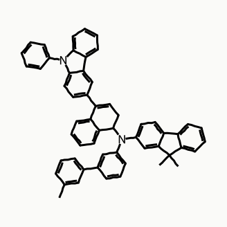 Cc1cccc(-c2cccc(N(c3ccc4c(c3)C(C)(C)c3ccccc3-4)C3CC=C(c4ccc5c(c4)c4ccccc4n5-c4ccccc4)c4ccccc43)c2)c1